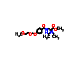 CCN(CC)[C@@H](CNC(=O)c1ccc(OCOCCOC)cc1)C(=O)OC